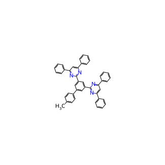 Cc1ccc(-c2cc(-c3nc(-c4ccccc4)cc(-c4ccccc4)n3)cc(-c3nc(-c4ccccc4)cc(-c4ccccc4)n3)c2)cc1